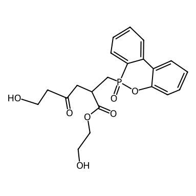 O=C(CCO)CC(CP1(=O)Oc2ccccc2-c2ccccc21)C(=O)OCCO